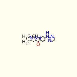 CC(CC(=N)C(=O)c1ccc(Nc2ncccn2)cc1)N(C)C